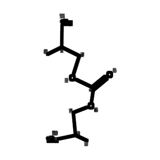 CC(COC(=O)OCC(C)C(C)(C)C)C(C)(C)C